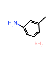 B.Cc1cccc(N)c1